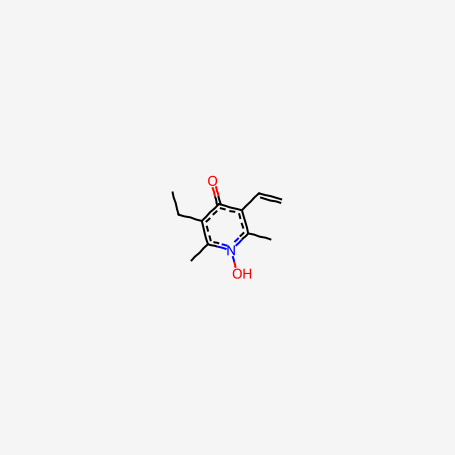 C=Cc1c(C)n(O)c(C)c(CC)c1=O